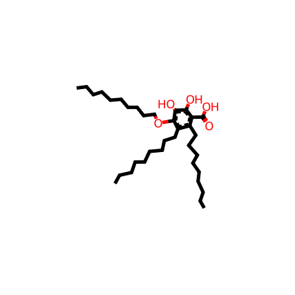 CCCCCCCCCCOc1c(O)c(O)c(C(=O)O)c(CCCCCCCCC)c1CCCCCCCCC